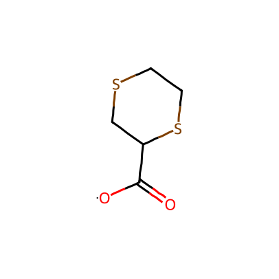 [O]C(=O)C1CSCCS1